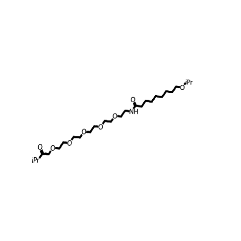 CC(C)OCCCCCCCCC(=O)NCCOCCOCCOCCOCCOCC(=O)C(C)C